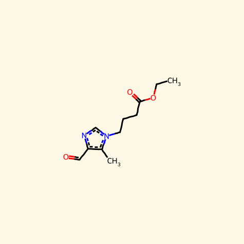 CCOC(=O)CCCn1cnc(C=O)c1C